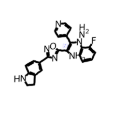 N/C(=C(/c1ccncc1)N(N)c1ccccc1F)c1nc(-c2ccc3c(c2)CCN3)no1